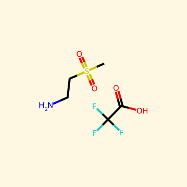 CS(=O)(=O)CCN.O=C(O)C(F)(F)F